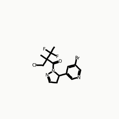 CC(F)(F)C(C)(CCl)C(=O)N1N=CCC1c1cncc(Br)c1